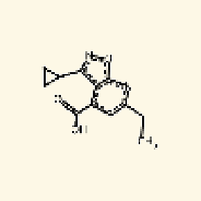 CCc1cc(C(=O)O)c2c(C3CC3)noc2n1